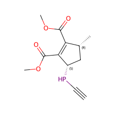 C#CP[C@H]1C[C@@H](C)C(C(=O)OC)=C1C(=O)OC